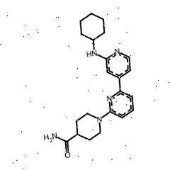 NC(=O)C1CCN(c2cccc(-c3ccnc(NC4CCCCC4)c3)n2)CC1